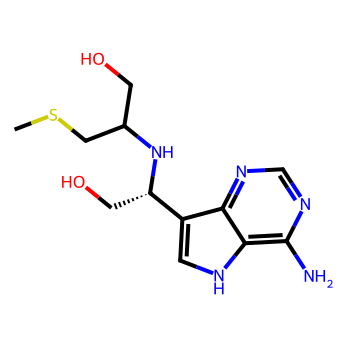 CSCC(CO)N[C@@H](CO)c1c[nH]c2c(N)ncnc12